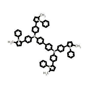 Cc1ccc(-c2ccc(N(c3ccc(-c4ccc(N(c5ccc(-c6ccc(C)p6-c6ccccc6)cc5)c5ccc(-c6ccc(C)p6-c6ccccc6)cc5)cc4)cc3)c3ccc(-c4ccc(C)p4-c4ccccc4)cc3)cc2)p1-c1ccccc1